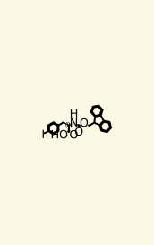 O=C(N[C@H](Cc1ccc(I)cc1)C(=O)O)OCC1c2ccccc2-c2ccccc21